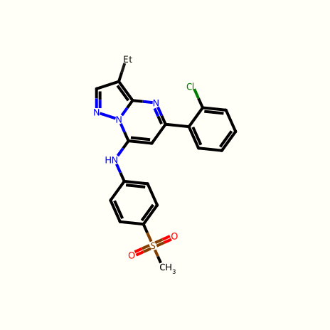 CCc1cnn2c(Nc3ccc(S(C)(=O)=O)cc3)cc(-c3ccccc3Cl)nc12